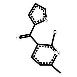 Cc1ccc(C(=O)c2cccs2)c(Cl)n1